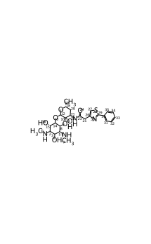 CN[C@@H]1[C@H](O)[C@H](NC)C2O[C@]3(O)C(OC2[C@H]1O)O[C@H](C)C[C@H]3NC(=O)Cc1csc(-c2ccccc2)n1